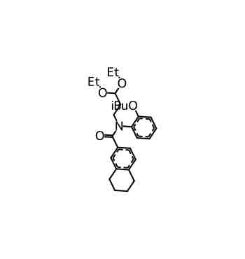 CCOC(CCN(C(=O)c1ccc2c(c1)CCCC2)c1ccccc1OCC(C)C)OCC